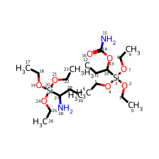 CCO[Si](OCC)(OCC)C(CC)OC(N)=O.CCO[Si](OCC)(OCC)C(N)CC